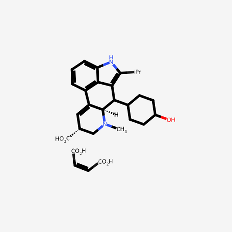 CC(C)c1[nH]c2cccc3c2c1C(C1CCC(O)CC1)[C@@H]1C3=C[C@@H](C(=O)O)CN1C.O=C(O)/C=C\C(=O)O